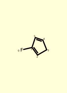 FC1=CCC=C1